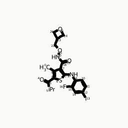 Cc1c(C(=O)C(C)C)sc(Nc2ccc(I)cc2F)c1C(=O)NOCC1COC1